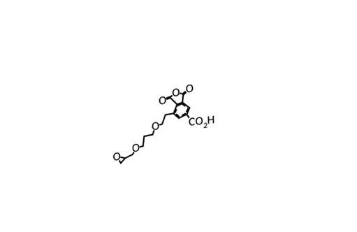 O=C(O)c1cc(CCOCCCOCC2CO2)c2c(c1)C(=O)OC2=O